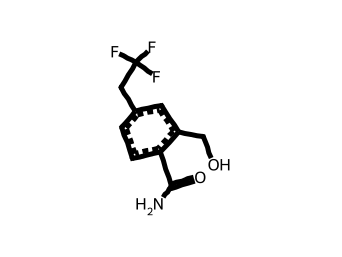 NC(=O)c1ccc(CC(F)(F)F)cc1CO